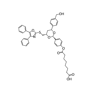 O=C(O)CCCCCCC(=O)Oc1ccc([C@@H]2OC(c3ccc(CO)cc3)C[C@H](CSc3nc(-c4ccccc4)c(-c4ccccc4)o3)O2)cc1